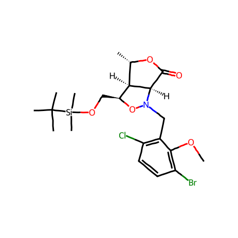 COc1c(Br)ccc(Cl)c1CN1O[C@@H](CO[Si](C)(C)C(C)(C)C)[C@H]2[C@H](C)OC(=O)[C@H]21